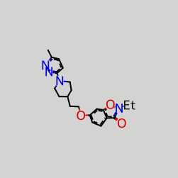 CCn1oc2cc(OCCC3CCN(c4ccc(C)nn4)CC3)ccc2c1=O